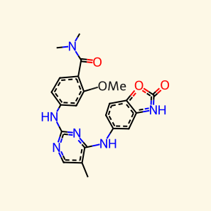 COc1cc(Nc2ncc(C)c(Nc3ccc4oc(=O)[nH]c4c3)n2)ccc1C(=O)N(C)C